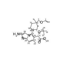 C=COCC1(C)CCN(c2c([C@H](OC(C)(C)C)C(=O)OC)c(C)cc3nc(N)cn23)CC1